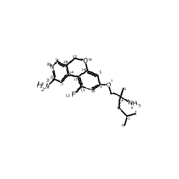 CC(C)CC(C)(N)COc1cc(F)c2c(c1)OCc1cnc(N)cc1-2